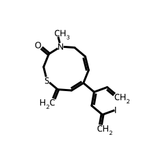 C=CC(=C\C(=C)I)/C1=C/C(=C)SCC(=O)N(C)C/C=C\1